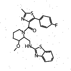 COC1CCCN(C(=O)c2nc(C)sc2-c2ccc(F)cc2)C1CNc1nc2ccccc2s1